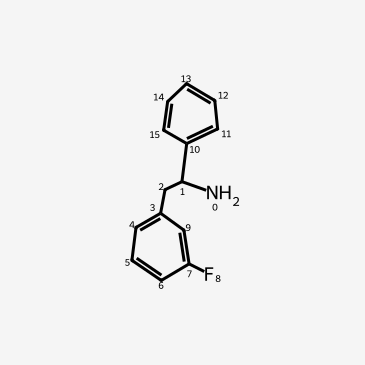 NC(Cc1cccc(F)c1)c1ccccc1